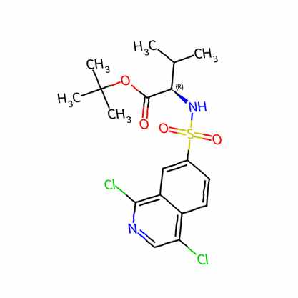 CC(C)[C@@H](NS(=O)(=O)c1ccc2c(Cl)cnc(Cl)c2c1)C(=O)OC(C)(C)C